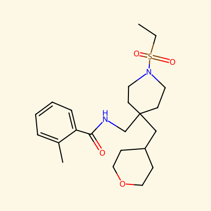 CCS(=O)(=O)N1CCC(CNC(=O)c2ccccc2C)(CC2CCOCC2)CC1